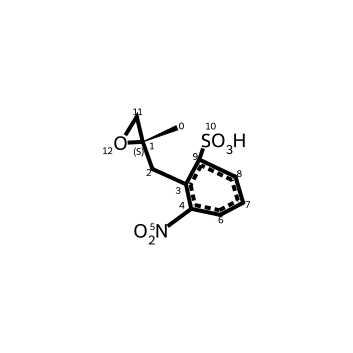 C[C@]1(Cc2c([N+](=O)[O-])cccc2S(=O)(=O)O)CO1